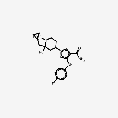 N#CC1(CC2CC2)CC(n2cc(C(N)=O)c(Nc3ccc(F)cc3)n2)CCN1C(=O)O